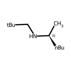 CCCC[C@H](C)NCC(C)(C)C